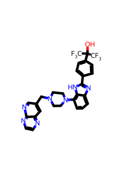 OC(c1ccc(-c2nc3cccc(N4CCN(Cc5cnc6nccnc6c5)CC4)c3[nH]2)cc1)(C(F)(F)F)C(F)(F)F